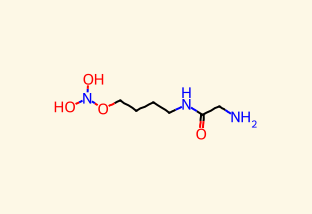 NCC(=O)NCCCCON(O)O